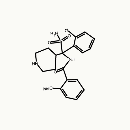 COc1ccccc1C(=O)NC(c1ccccc1Cl)(C1CCNCC1)S(N)(=O)=O